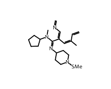 C=C\C(C)=C/C(=C/N=C)C(=N\C1CCN(SC)CC1)/N(C)C1CCCC1